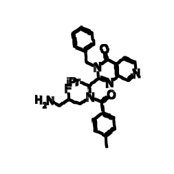 Cc1ccc(C(=O)N(CC(F)CN)C(c2nc3cnccc3c(=O)n2Cc2ccccc2)C(C)C)cc1